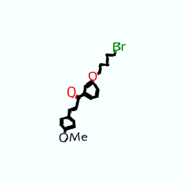 COc1ccc(/C=C/C(=O)c2cccc(OCCCCCBr)c2)cc1